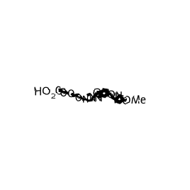 COc1ccc(COc2ccc3oc(N4CCN(CCOCCOCCOCC(=O)O)CC4)nc3c2)nc1